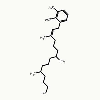 CC(=O)Oc1cccc(CC=C(C)CCCC(C)CCCC(C)CCCC(C)C)c1OC(C)=O